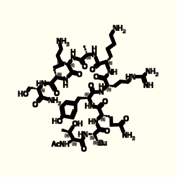 CC[C@H](C)[C@H](NC(=O)[C@@H](NC(C)=O)[C@@H](C)O)C(=O)N[C@@H](CCC(N)=O)C(=O)N[C@@H](Cc1ccc(O)cc1)C(=O)N[C@@H](CCCNC(=N)N)C(=O)N[C@@H](CCCCN)C(=O)N[C@@H](C)C(=O)N[C@H](C(=O)N[C@@H](CCCCN)C(=O)N[C@@H](CO)C(N)=O)C(C)C